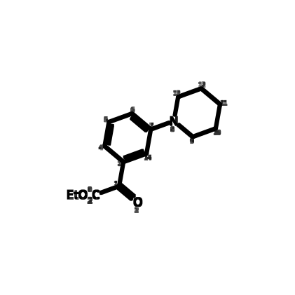 CCOC(=O)C(=O)c1cccc(N2CCCCC2)c1